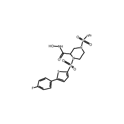 CCCS(=O)(=O)N1CCN(S(=O)(=O)c2ccc(-c3ccc(F)cc3)s2)C(C(=O)NO)C1